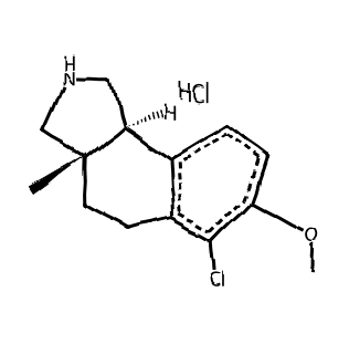 COc1ccc2c(c1Cl)CC[C@]1(C)CNC[C@@H]21.Cl